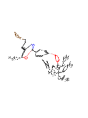 Cc1oc(-c2ccc(O[Si](C)(C)C(C)(C)C)cc2)nc1CCBr